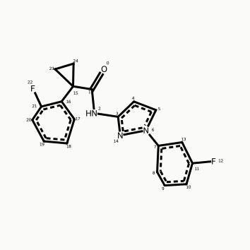 O=C(Nc1ccn(-c2cccc(F)c2)n1)C1(c2ccccc2F)CC1